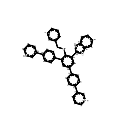 c1ccc(COc2c(-c3ccc(-c4cccnc4)cc3)cc(-c3ccc(-c4cccnc4)cc3)cc2-c2nc3ccccc3o2)cc1